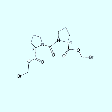 O=C(OCBr)[C@@H]1CCCN1C(=O)N1CCC[C@H]1C(=O)OCBr